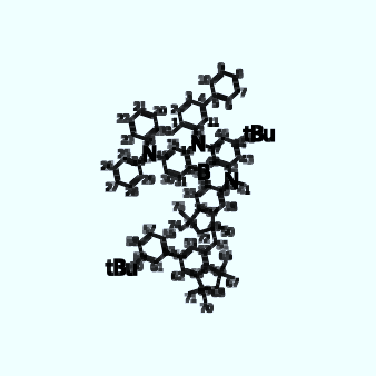 Cc1ccc(-c2ccccc2)cc1N1c2cc(N(c3ccccc3)c3ccccc3)ccc2B2c3cc4c(cc3N(C)c3cc(C(C)(C)C)cc1c32)C(C)(Cc1cc(-c2cccc(C(C)(C)C)c2)cc2c1C(C)(C)CC2(C)C)CC4(C)C